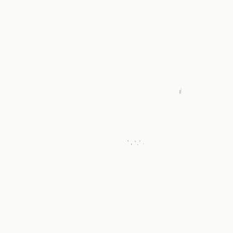 CNC(SC(C)C(C)C)C1=CC(C)CC=C1